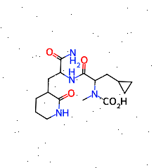 CN(C(=O)O)C(CC1CC1)C(=O)NC(CC1CCCNC1=O)C(N)=O